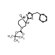 CC(C)(C)OC(=O)N1CCS(=O)(=O)C(F)(c2ncc(Cc3ccccc3)s2)C1